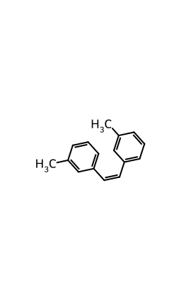 Cc1cccc(/C=C\c2cccc(C)c2)c1